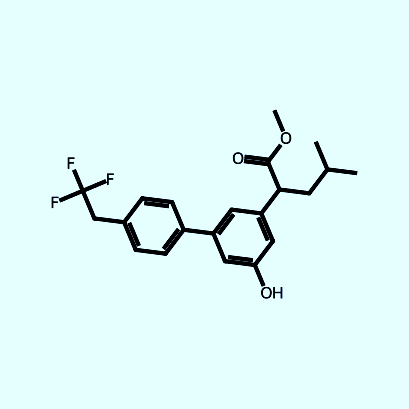 COC(=O)C(CC(C)C)c1cc(O)cc(-c2ccc(CC(F)(F)F)cc2)c1